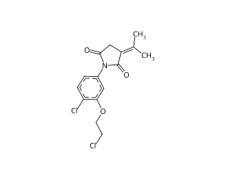 CC(C)=C1CC(=O)N(c2ccc(Cl)c(OCCCl)c2)C1=O